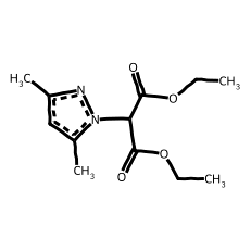 CCOC(=O)C(C(=O)OCC)n1nc(C)cc1C